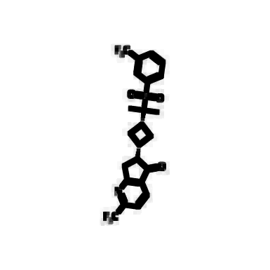 CC(C)([C@H]1C[C@@H](C2Cc3nc(C(F)(F)F)ccc3C2=O)C1)S(=O)(=O)c1cccc(C(F)(F)F)c1